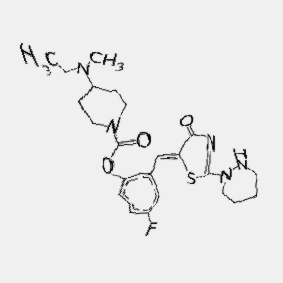 CCN(C)C1CCN(C(=O)Oc2ccc(F)cc2/C=C2\SC(N3CCCCN3)=NC2=O)CC1